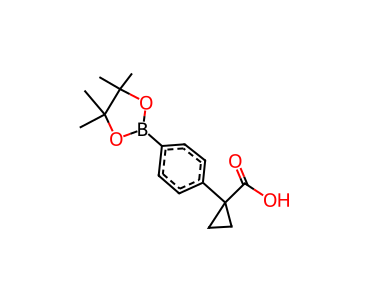 CC1(C)OB(c2ccc(C3(C(=O)O)CC3)cc2)OC1(C)C